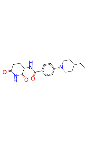 CCC1CCN(c2ccc(C(=O)NC3CCC(=O)NC3=O)cc2)CC1